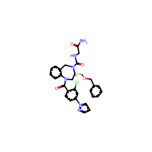 NC(=O)CNC(=O)N1Cc2ccccc2N(C(=O)c2ccc(-n3cccn3)cc2Cl)C[C@H]1COCc1ccccc1